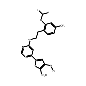 CCOc1cc(-c2cc(NCCc3ccc(C(F)(F)F)cc3OC(F)F)ncn2)sc1C(=O)O